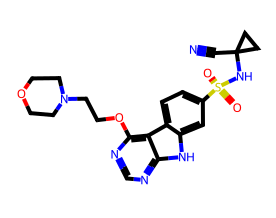 N#CC1(NS(=O)(=O)c2ccc3c(c2)[nH]c2ncnc(OCCN4CCOCC4)c23)CC1